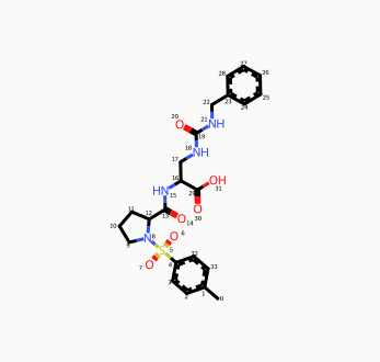 Cc1ccc(S(=O)(=O)N2CCCC2C(=O)NC(CNC(=O)NCc2ccccc2)C(=O)O)cc1